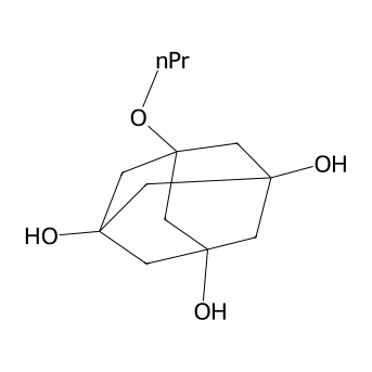 CCCOC12CC3(O)CC(O)(CC(O)(C3)C1)C2